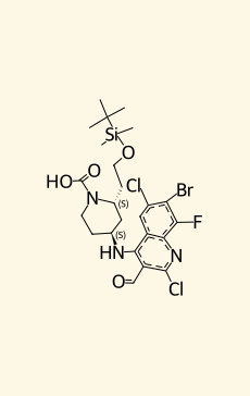 CC(C)(C)[Si](C)(C)OCC[C@@H]1C[C@@H](Nc2c(C=O)c(Cl)nc3c(F)c(Br)c(Cl)cc23)CCN1C(=O)O